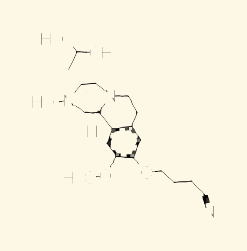 COc1cc2c(cc1OCCCC#N)CCN1C[C@@H](CC(C)C)N(C)C[C@H]21